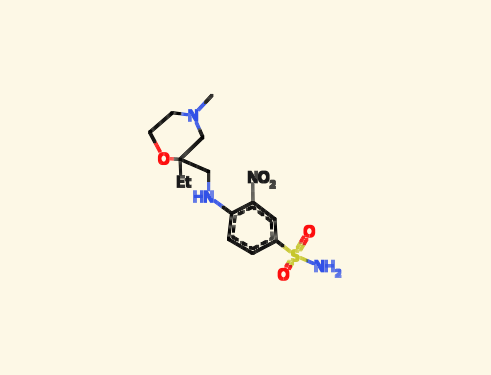 CCC1(CNc2ccc(S(N)(=O)=O)cc2[N+](=O)[O-])CN(C)CCO1